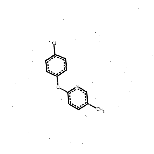 Cc1ccc(Oc2ccc(Cl)cc2)nc1